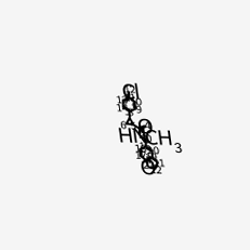 CC(NC(=O)C1CC1c1ccc(Cl)cc1)c1ccc2c(c1)CCO2